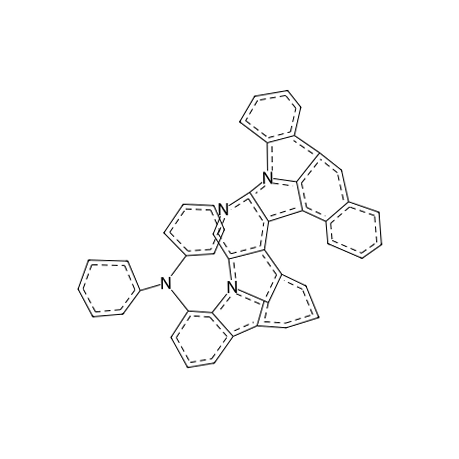 c1ccc(N(c2ccccc2)c2cccc3c4cccc5c6c7c8c9ccccc9cc9c%10ccccc%10n(c7ncc6n(c23)c45)c98)cc1